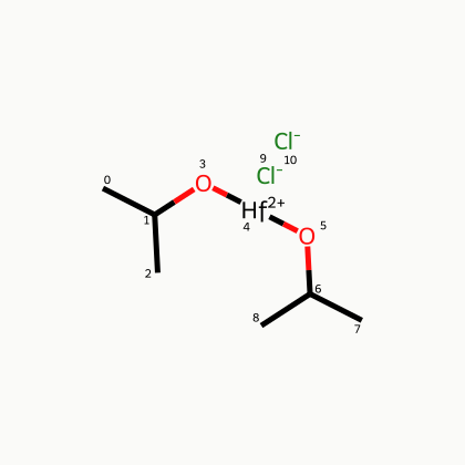 CC(C)[O][Hf+2][O]C(C)C.[Cl-].[Cl-]